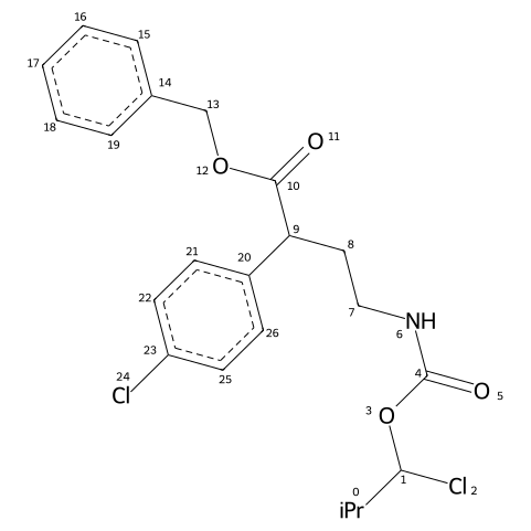 CC(C)C(Cl)OC(=O)NCCC(C(=O)OCc1ccccc1)c1ccc(Cl)cc1